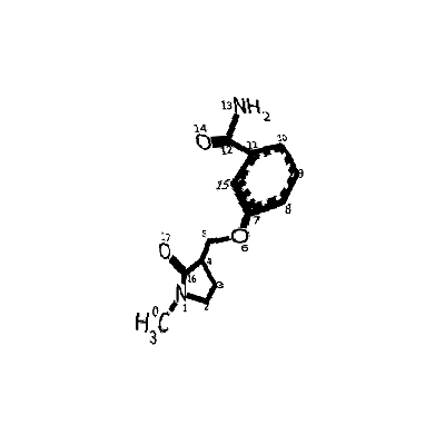 CN1CCC(COc2cccc(C(N)=O)c2)C1=O